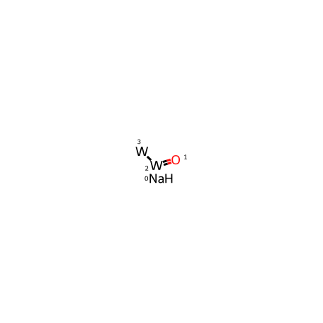 [NaH].[O]=[W][W]